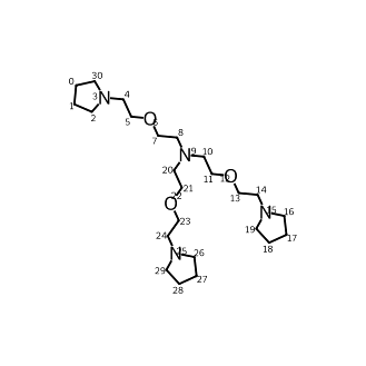 C1CCN(CCOCCN(CCOCCN2CCCC2)CCOCCN2CCCC2)C1